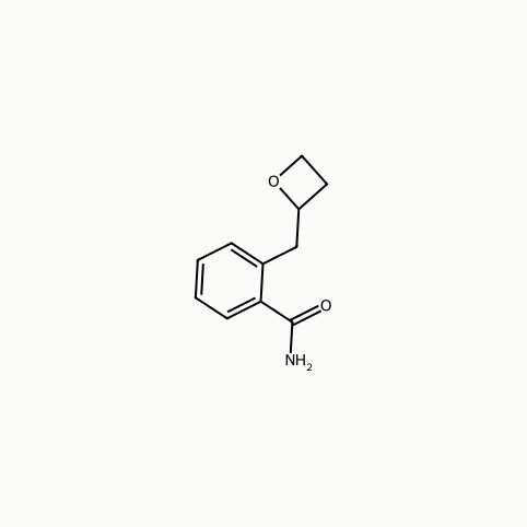 NC(=O)c1ccccc1CC1CCO1